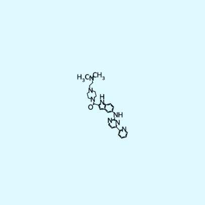 CN(C)CCN1CCN(C(=O)c2cc3cc(Nc4nccc(-c5ccccn5)n4)ccc3[nH]2)CC1